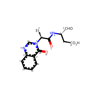 CC[C@@H](C(=O)N[C@H](C=O)CC(=O)O)n1cnc2ccccc2c1=O